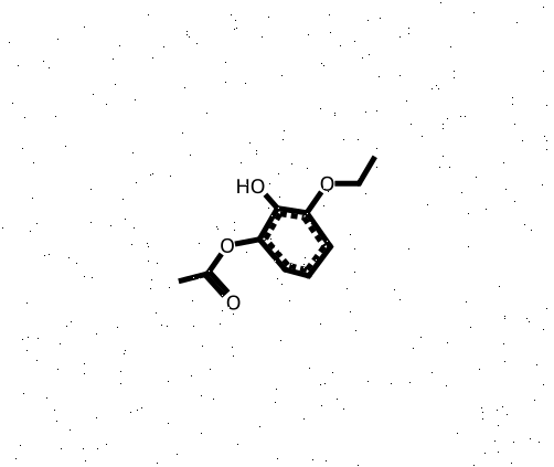 CCOc1cccc(OC(C)=O)c1O